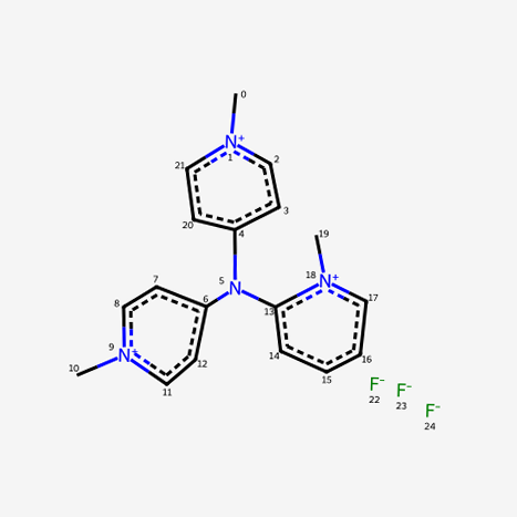 C[n+]1ccc(N(c2cc[n+](C)cc2)c2cccc[n+]2C)cc1.[F-].[F-].[F-]